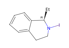 CC[C@@H]1c2ccccc2CCN1I